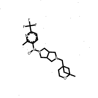 Cc1nc(C(F)(F)F)ccc1[S+]([O-])N1CC2CN(CC34CCOC(C)(C3)C4)CC2C1